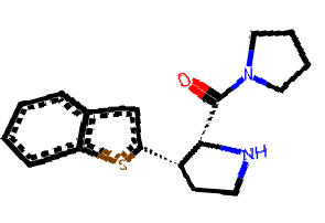 O=C([C@@H]1NCC[C@@H]1c1cc2ccccc2s1)N1CCCC1